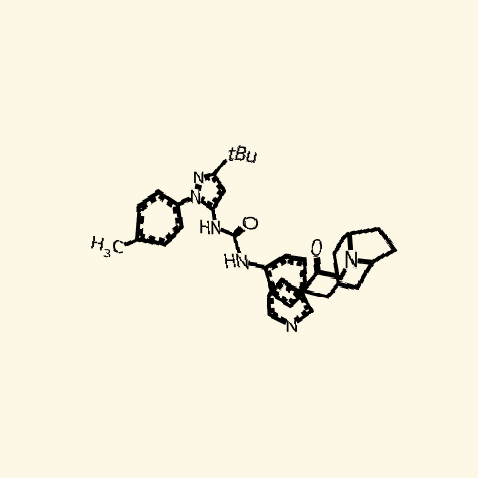 Cc1ccc(-n2nc(C(C)(C)C)cc2NC(=O)Nc2ccc(CC3CC4CCC(C3)N4CC(=O)c3cccnc3)cc2)cc1